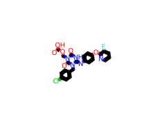 O=C(O)OCn1c(=O)[nH]/c(=N\c2ccc(Oc3ncccc3F)cc2)n(Cc2ccc(Cl)cc2)c1=O